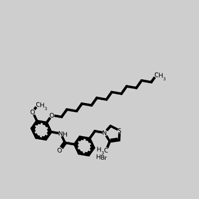 Br.CCCCCCCCCCCCCCOc1c(NC(=O)c2cccc(CN3CSC=C3C)c2)cccc1OC